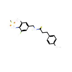 CC(=O)c1cc(CNC(=S)CCc2ccc(C(C)(C)C)cc2)cc(F)c1NS(C)(=O)=O